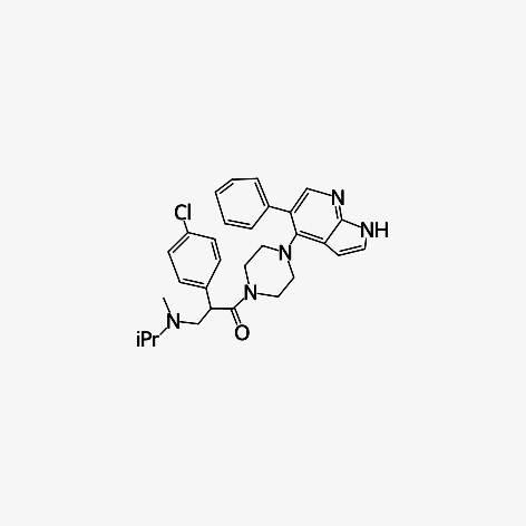 CC(C)N(C)CC(C(=O)N1CCN(c2c(-c3ccccc3)cnc3[nH]ccc23)CC1)c1ccc(Cl)cc1